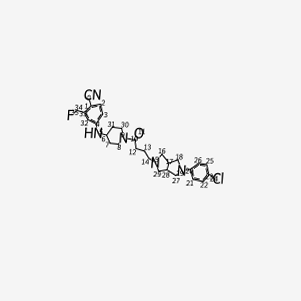 N#Cc1ccc(NC2CCN(C(=O)CCCN3CC4CN(c5ccc(Cl)cc5)CC4C3)CC2)cc1CF